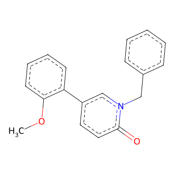 COc1ccccc1-c1ccc(=O)n(Cc2ccccc2)c1